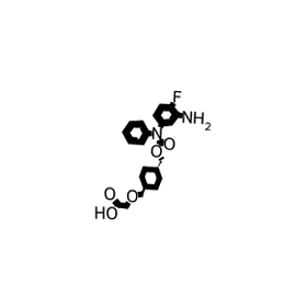 Nc1cc(N(C(=O)OC[C@H]2CC[C@H](COCC(=O)O)CC2)c2ccccc2)ccc1F